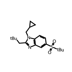 CC(C)(C)Cc1nc2cc(S(=O)(=O)C(C)(C)C)ccc2n1CC1CC1